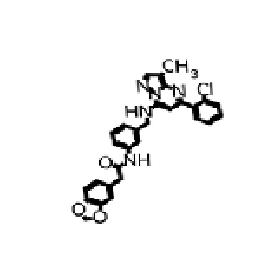 Cc1cnn2c(NCc3cccc(NC(=O)Cc4ccc5c(c4)OCO5)c3)cc(-c3ccccc3Cl)nc12